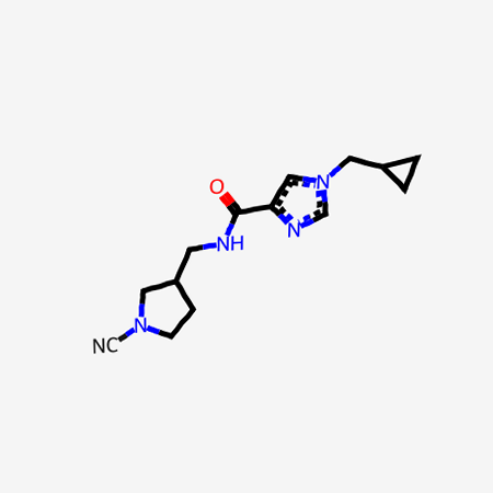 N#CN1CCC(CNC(=O)c2cn(CC3CC3)cn2)C1